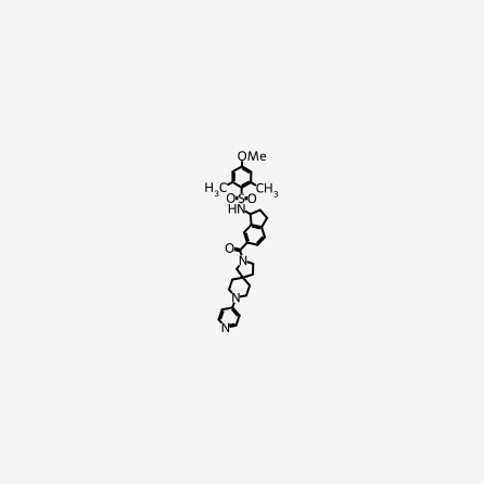 COc1cc(C)c(S(=O)(=O)NC2CCc3ccc(C(=O)N4CCC5(CCN(c6ccncc6)CC5)C4)cc32)c(C)c1